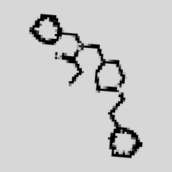 CCC(=O)N(Cc1ccccc1)CC1CCN(CCc2ccccc2)CC1